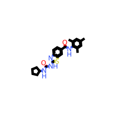 Cc1cc(C)c(NC(=O)c2ccc3nc(NC(=O)NC4CCCC4)sc3c2)c(C)c1